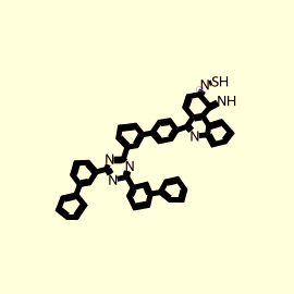 N=C1/C(=N\S)C=Cc2c(-c3ccc(-c4cccc(-c5nc(-c6cccc(-c7ccccc7)c6)nc(-c6cccc(-c7ccccc7)c6)n5)c4)cc3)nc3ccccc3c21